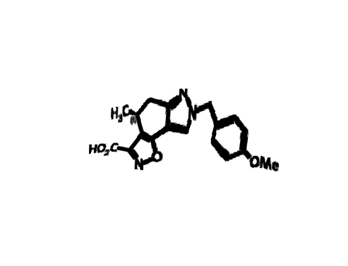 COc1ccc(Cn2cc3c(n2)C[C@H](C)c2c(C(=O)O)noc2-3)cc1